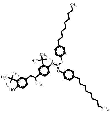 CCCCCCCCCc1ccc(OP(Oc2ccc(CCCCCCCCC)cc2)Oc2ccc(C(C)Cc3ccc(O)c(C(C)(C)C)c3)cc2C(C)(C)C)cc1